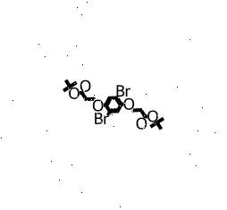 CC(C)(C)OC(=O)CCOc1cc(Br)c(OCCC(=O)OC(C)(C)C)cc1Br